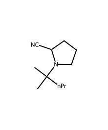 CCCC(C)(C)N1CCCC1C#N